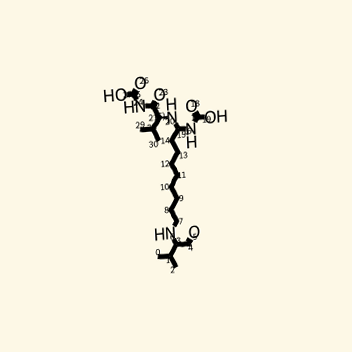 CC(C)C(C=O)NCCCCCCCCC(NC(=O)O)N[C@H](C(=O)NC(=O)O)C(C)C